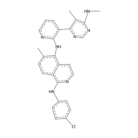 CNc1ncnc(-c2cccnc2Nc2c(C)ccc3c(Nc4ccc(Cl)cc4)nccc23)c1C